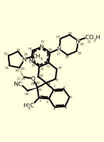 CC1=C2C=CCC=C2C2(CCc3c(ncnc3N3CCN(C(=O)O)CC3)C2)[C@@]1(CC#N)OC[C@@H]1CCCN1C